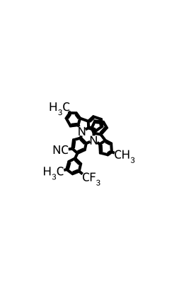 Cc1cc(-c2cc(-n3c4ccccc4c4cc(C)ccc43)c(-n3c4ccccc4c4cc(C)ccc43)cc2C#N)cc(C(F)(F)F)c1